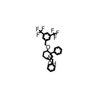 OC1CC2(c3ccccc3)C(OCc3cc(C(F)(F)F)cc(C(F)(F)F)c3)CCC1N2Cc1ccccc1